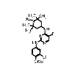 COc1ccc(Nc2ncc(F)c(NC3CC(C)(C)N(C(C)=O)C(C)(C)C3)n2)cc1Cl